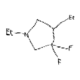 CCC1CN(CC)CC1(F)F